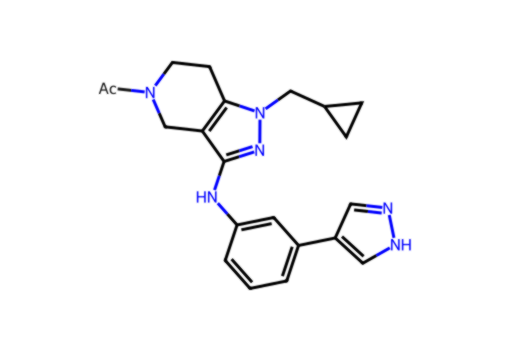 CC(=O)N1CCc2c(c(Nc3cccc(-c4cn[nH]c4)c3)nn2CC2CC2)C1